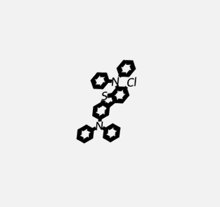 Clc1ccc2c(sc3ccc(N(c4ccccc4)c4ccccc4)cc32)c1N(c1ccccc1)c1ccccc1